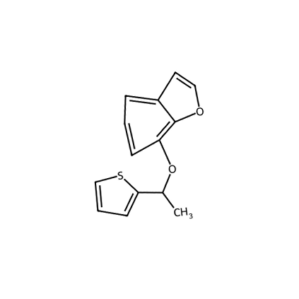 CC(Oc1cccc2ccoc12)c1cccs1